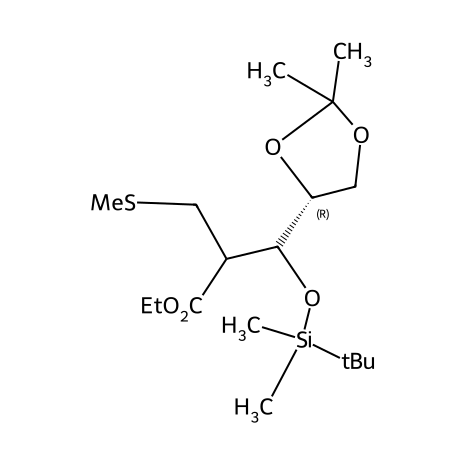 CCOC(=O)C(CSC)C(O[Si](C)(C)C(C)(C)C)[C@H]1COC(C)(C)O1